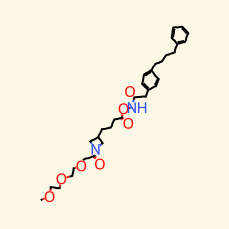 COCCOCCOCC(=O)N1CC(CCCC(=O)ONC(=O)Cc2ccc(CCCCc3ccccc3)cc2)C1